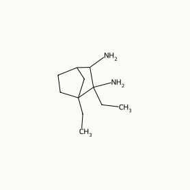 CCC12CCC(C1)C(N)C2(N)CC